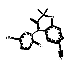 CC1=C(n2nc(O)ccc2=O)c2cc(C#N)ccc2OC1(C)C